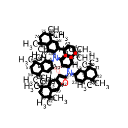 Cc1c(N2c3cc4c(cc3B3c5c(cc(C(C)(C)C)cc52)N(c2ccc5c(c2)C(C)(C)CCC5(C)C)c2oc5cc6c(cc5c23)C(C)(C)CCC6(C)C)C(C)(C)CCC4(C)C)c(-c2ccccc2)cc2c1C(C)(C)CCC2(C)C